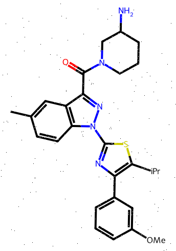 COc1cccc(-c2nc(-n3nc(C(=O)N4CCCC(N)C4)c4cc(C)ccc43)sc2C(C)C)c1